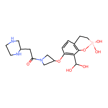 O=C(CC1CNCCN1)N1CC(Oc2ccc3c(c2C(O)O)O[B-](O)(O)CC3)C1